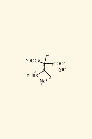 CCCCCCC(C)C(C)(C(=O)[O-])C(=O)[O-].[Na+].[Na+]